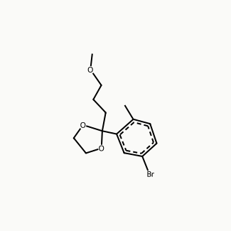 COCCCC1(c2cc(Br)ccc2C)OCCO1